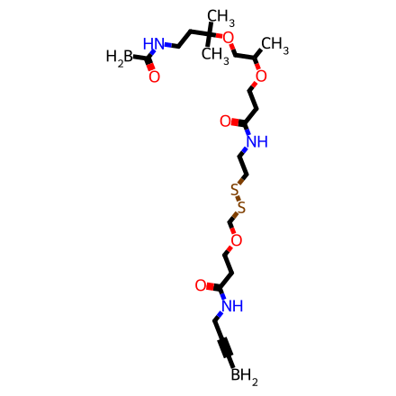 BC#CCNC(=O)CCOCSSCCNC(=O)CCOC(C)COC(C)(C)CCNC(B)=O